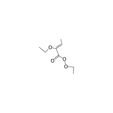 CC=C(OCC)C(=O)OOCC